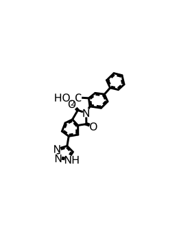 O=C(O)c1cc(-c2ccccc2)ccc1N1C(=O)c2ccc(-c3c[nH]nn3)cc2C1=O